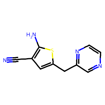 N#Cc1cc(Cc2cnccn2)sc1N